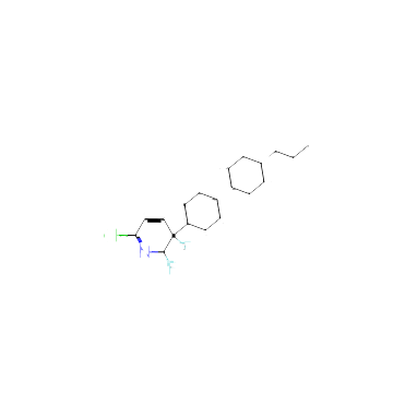 CCC[C@H]1CC[C@H](C2CCC(C3(F)C=CC(Cl)=NC3F)CC2)CC1